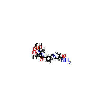 CC(C)[C@H]1C(=O)N(S(C)(=O)=O)[C@H]2CCN(C(=O)c3cccc(CN4CCC(C(N)=O)CC4)c3)[C@H]12